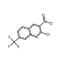 O=[N+]([O-])c1cc2ccc(C(F)(F)F)cc2nc1Cl